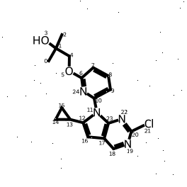 CC(C)(O)COc1cccc(-n2c(C3CC3)cc3cnc(Cl)nc32)n1